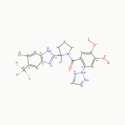 COc1cc(C(=O)N2CCCC2(C)c2nc3cc(C(F)(F)F)c(Cl)cc3[nH]2)c(-n2nccn2)cc1OC